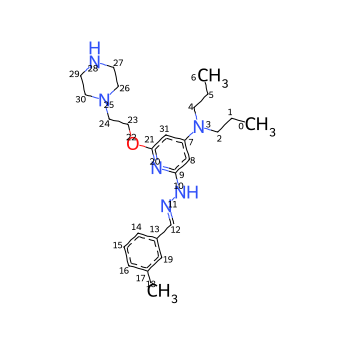 CCCN(CCC)c1cc(N/N=C/c2cccc(C)c2)nc(OCCN2CCNCC2)c1